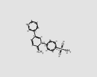 C=C1C=CC(c2cccnc2)=CN1c1ccc(S(N)(=O)=O)cc1